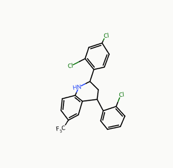 FC(F)(F)c1ccc2c(c1)C(c1ccccc1Cl)CC(c1ccc(Cl)cc1Cl)N2